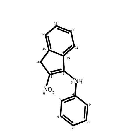 O=[N+]([O-])C1=C(Nc2ccccc2)c2ccccc2C1